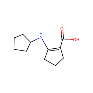 O=C(O)C1=C(NC2CCCC2)CCC1